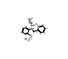 CSc1ccccc1/N=C/c1ccccn1.[Br-].[Br-].[Cu+2]